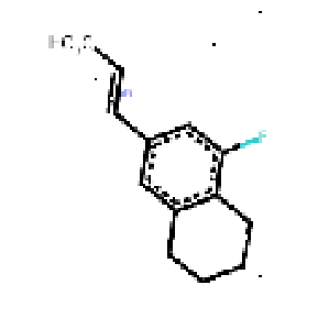 O=C(O)/C=C/c1cc(F)c2c(c1)CCCC2